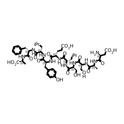 CC(C)C[C@H](NC(=O)[C@H](Cc1ccc(O)cc1)NC(=O)[C@H](CCC(=O)O)NC(=O)[C@H](CC(C)C)NC(=O)[C@H](CO)NC(=O)[C@H](CO)NC(=O)[C@H](C)NC(=O)[C@@H](N)CC(=O)O)C(=O)N[C@@H](Cc1ccccc1)C(=O)N[C@@H](C)C(=O)O